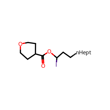 CCCCCCCCCC(I)OC(=O)C1CCOCC1